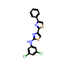 Clc1cc(Cl)cc(Nc2nc(-c3nc(-c4ccccc4)cs3)cs2)c1